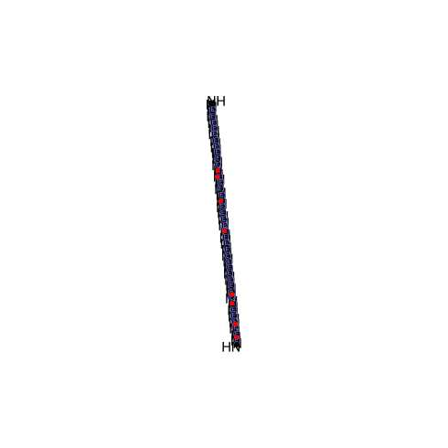 N=N/N=N/N=N/N=N/N=N/N=N/N=N/N=N/N=N/N=N/N=N/N=N/N=N/N=N/N=N/N=N/N=N/N=N/N=N/N=N/N=N/N=N/N=N/N=N/N=N/N=N/N=N/N=N/N=N/N=N/N=N/N=N/N=N/N=N/N=N/N=N/N=N/N=N/N=N/N=N/N=N